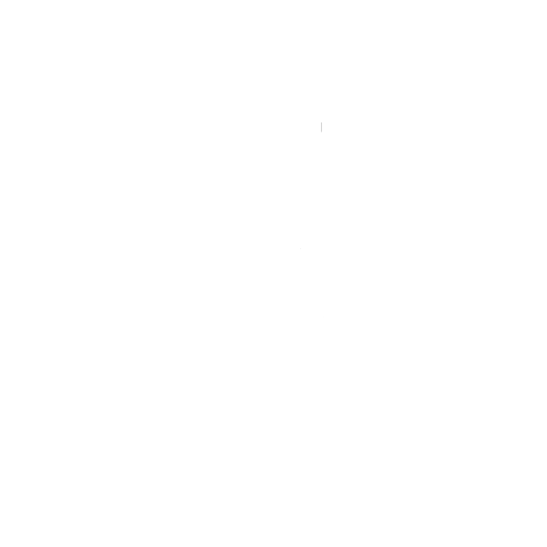 Fc1ccc(C2=Cc3ccccc3CC2)cc1